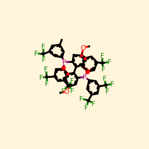 COc1cc(OC)c(-c2c(OC)cc(OC)cc2P(c2cc(C)cc(C(F)(F)F)c2)c2cc(C(F)(F)F)cc(C(F)(F)F)c2)c(P(c2cc(C)cc(C(F)(F)F)c2)c2cc(C(F)(F)F)cc(C(F)(F)F)c2)c1